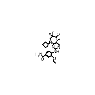 CCOc1cc(C(N)=O)ccc1Nc1ncc2c(n1)N(C1CCCC1)CC(F)(F)C(=O)N2C